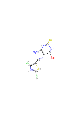 Nc1nc(S)nc(O)c1/N=C/c1sc(Cl)nc1Cl